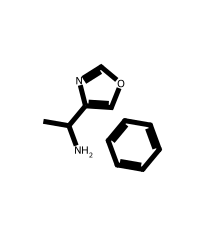 CC(N)c1cocn1.c1ccccc1